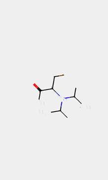 CC(=O)C(CS)N(C(C)C)C(C)C